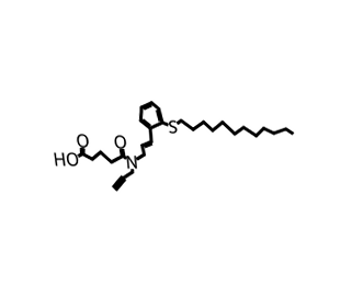 C#CCN(CC=Cc1ccccc1SCCCCCCCCCCCC)C(=O)CCCC(=O)O